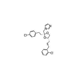 Clc1ccc(CC[C@]2(Cn3ccnc3)OC[C@H](CSCc3ccccc3Cl)O2)cc1